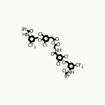 CC(C)C(=O)Nc1cc(COc2c(Cl)cc(CC(=O)OC(=O)CNC(=O)c3cc(Cl)c(OCc4cc(NC(=O)C(C)C)cc(C(F)(F)F)c4)c(Cl)c3)cc2Cl)cc(C(F)(F)F)c1